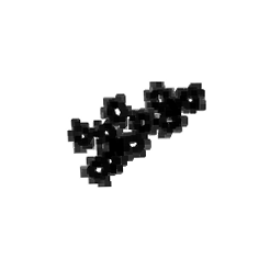 c1ccc(-c2cc(-c3ccccc3)cc(N(c3cccc(-c4cccc(-c5cccc6c5C5CCCCC5N6c5ccccc5)c4)c3)c3ccc4ccccc4c3)c2)cc1